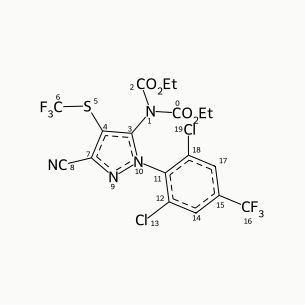 CCOC(=O)N(C(=O)OCC)c1c(SC(F)(F)F)c(C#N)nn1-c1c(Cl)cc(C(F)(F)F)cc1Cl